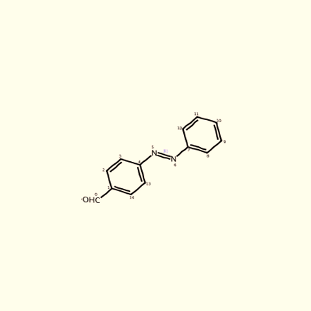 O=[C]c1ccc(/N=N/c2ccccc2)cc1